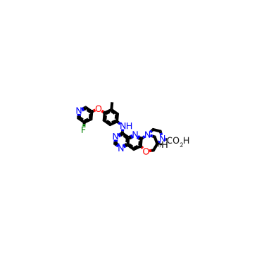 Cc1cc(Nc2ncnc3cc4c(nc23)N2CCN(C(=O)O)[C@H](CO4)C2)ccc1Oc1cncc(F)c1